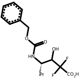 CC(C)[C@H](NC(=O)OCc1ccccc1)C(O)C(F)(F)C(=O)O